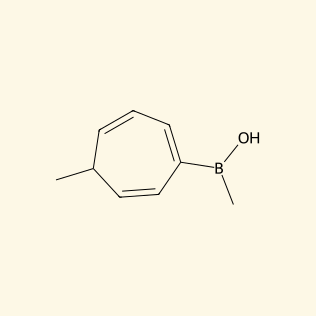 CB(O)C1=CC=CC(C)C=C1